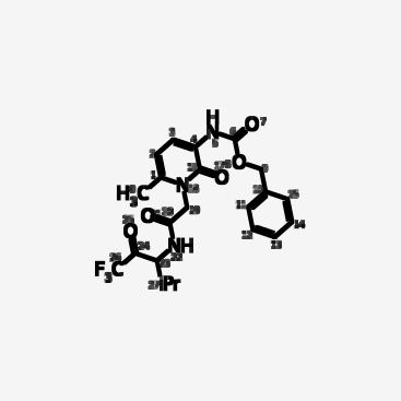 Cc1ccc(NC(=O)OCc2ccccc2)c(=O)n1CC(=O)NC(C(=O)C(F)(F)F)C(C)C